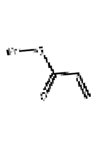 C=CC(=O)SC(C)C